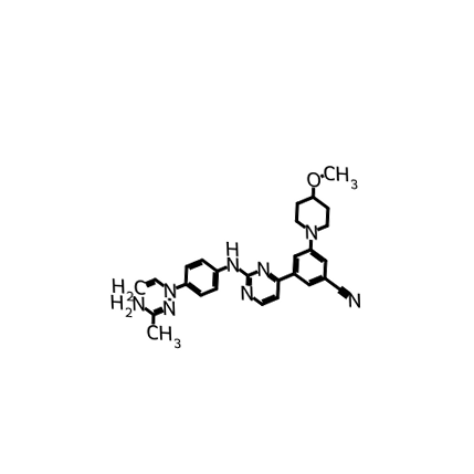 C=CN(/N=C(/C)N)c1ccc(Nc2nccc(-c3cc(C#N)cc(N4CCC(OC)CC4)c3)n2)cc1